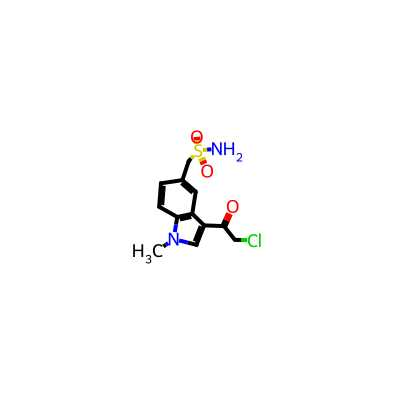 Cn1cc(C(=O)CCl)c2cc(CS(N)(=O)=O)ccc21